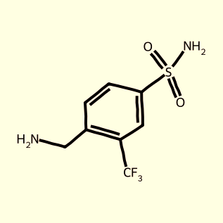 NCc1ccc(S(N)(=O)=O)cc1C(F)(F)F